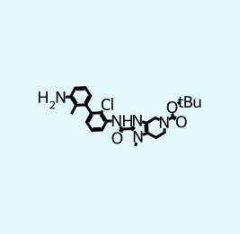 Cc1c(N)cccc1-c1cccc(NC(=O)c2nc3c(n2C)CCN(C(=O)OC(C)(C)C)C3)c1Cl